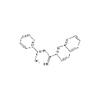 N=C(/C=C(\N)c1ccccc1)c1ccc2ccccc2c1